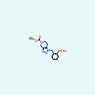 CC(C)(C)OC(=O)N1CCc2c(nnn2Cc2ccccc2CO)C1